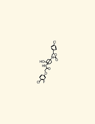 O=C(COc1ccc(Cl)c(F)c1)NC12CCC(N3CC(c4ccc(Cl)cc4)OC3=O)(CC1)CC2O